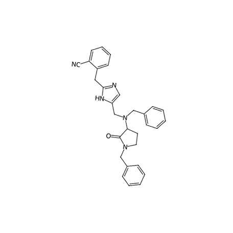 N#Cc1ccccc1Cc1ncc(CN(Cc2ccccc2)C2CCN(Cc3ccccc3)C2=O)[nH]1